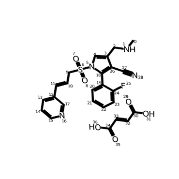 CNCc1cn(S(=O)(=O)CC=Cc2cccnc2)c(-c2ccccc2F)c1C#N.O=C(O)/C=C/C(=O)O